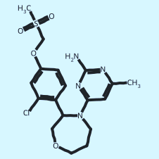 Cc1cc(N2CCCOCC2c2ccc(OCS(C)(=O)=O)cc2Cl)nc(N)n1